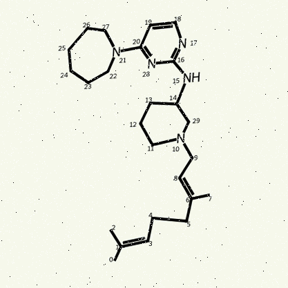 CC(C)=CCC/C(C)=C/CN1CCCC(Nc2nccc(N3CCCCCC3)n2)C1